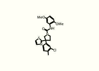 COc1ccc(OC)c(NC(=O)N2CCC(c3ccc(C)c(Cl)c3)(c3nccs3)C2)c1